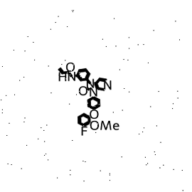 C=CC(=O)Nc1cccc(-n2c(=O)n(-c3ccc(Oc4cccc(F)c4OC)cc3)c3cnccc32)c1